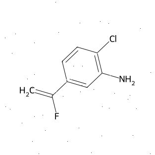 C=C(F)c1ccc(Cl)c(N)c1